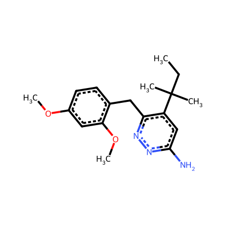 CCC(C)(C)c1cc(N)nnc1Cc1ccc(OC)cc1OC